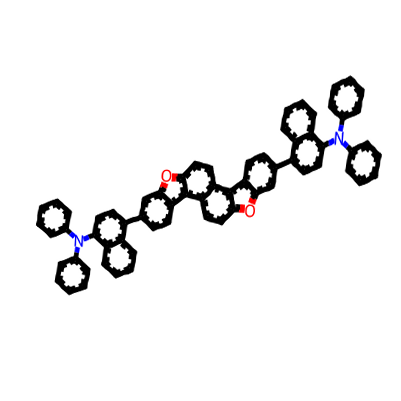 c1ccc(N(c2ccccc2)c2ccc(-c3ccc4c(c3)oc3ccc5c(ccc6oc7cc(-c8ccc(N(c9ccccc9)c9ccccc9)c9ccccc89)ccc7c65)c34)c3ccccc23)cc1